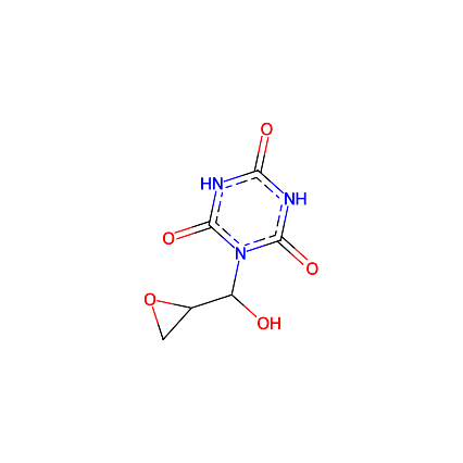 O=c1[nH]c(=O)n(C(O)C2CO2)c(=O)[nH]1